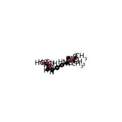 COC(=O)N[C@H](C(=O)N1CCC[C@H]1c1ncc(-c2ccc(-c3ccc(-c4cnc([C@@H]5CCCN5C(=O)C(NC(=O)CO)C(C)C)[nH]4)cc3)cc2)[nH]1)C(C)C